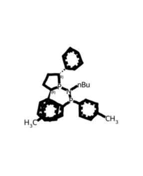 CCCCN(P(c1ccc(C)cc1)c1ccc(C)cc1)P1[C@@H](c2ccccc2)CC[C@@H]1c1ccccc1